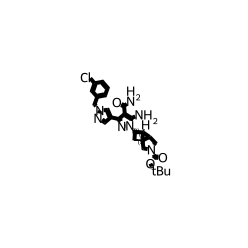 CC(C)(C)OC(=O)N1CC2[C@@H]3[C@H](n4nc(-c5cnn(Cc6cccc(Cl)c6)c5)c(C(N)=O)c4N)C[C@]23C1